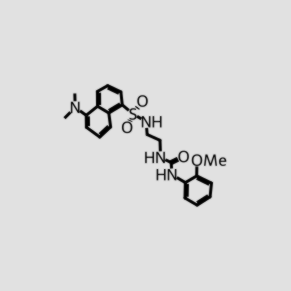 COc1ccccc1NC(=O)NCCNS(=O)(=O)c1cccc2c(N(C)C)cccc12